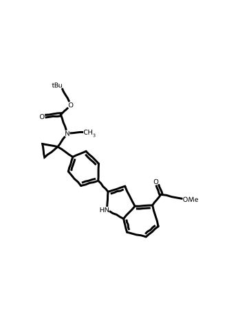 COC(=O)c1cccc2[nH]c(-c3ccc(C4(N(C)C(=O)OC(C)(C)C)CC4)cc3)cc12